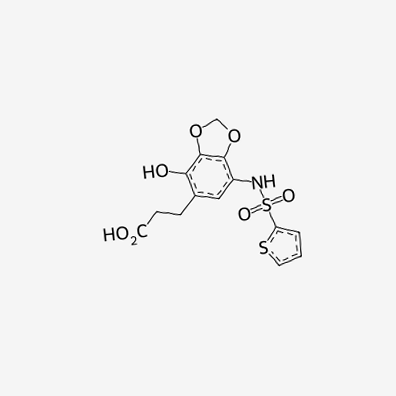 O=C(O)CCc1cc(NS(=O)(=O)c2cccs2)c2c(c1O)OCO2